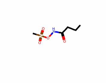 CCCC(=O)NOS(C)(=O)=O